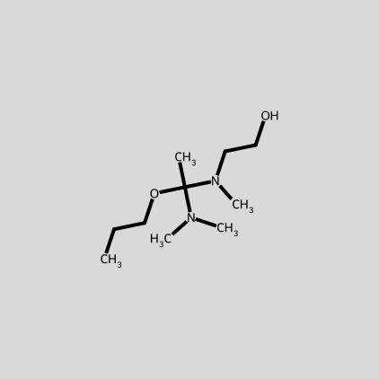 CCCOC(C)(N(C)C)N(C)CCO